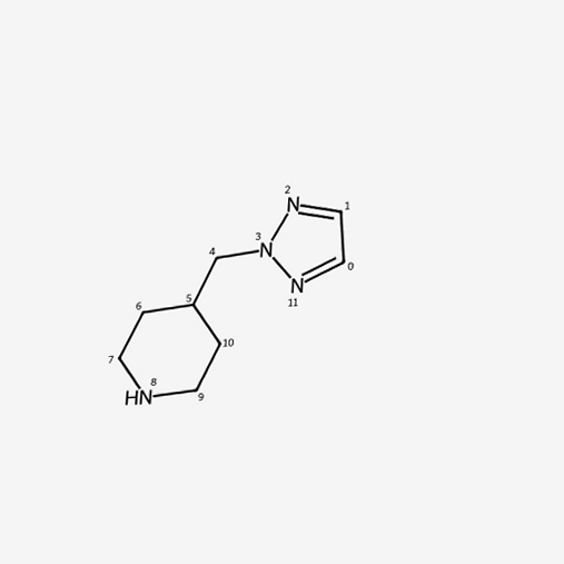 c1cnn(CC2CCNCC2)n1